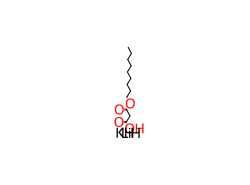 CCCCCCCCCOC(=O)CC(=O)O.[KH].[LiH]